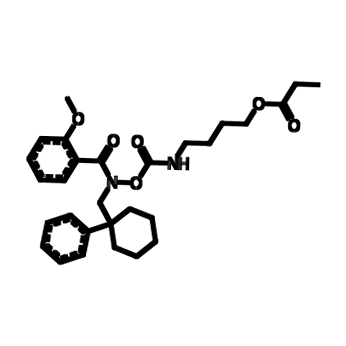 CCC(=O)OCCCCNC(=O)ON(CC1(c2ccccc2)CCCCC1)C(=O)c1ccccc1OC